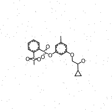 Cc1cc(OCC([O])C2CC2)cc(OS(=O)(=O)c2ccccc2S(C)(=O)=O)c1